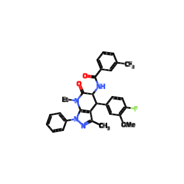 CCN1C(=O)C(NC(=O)c2cccc(C(F)(F)F)c2)C(c2ccc(F)c(OC)c2)c2c(C)nn(-c3ccccc3)c21